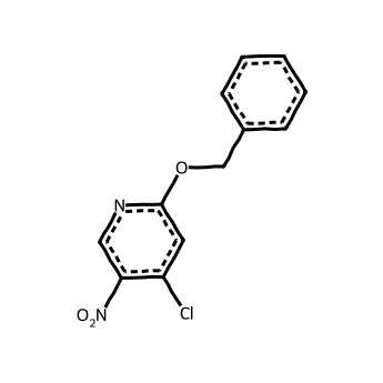 O=[N+]([O-])c1cnc(OCc2ccccc2)cc1Cl